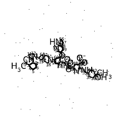 CC(C)c1ccccc1[C@@H]1CCCN1C1CC2(CCN(c3ccc(C(=O)NS(=O)(=O)c4cnc(NCC5CCC(C)(O)CC5)c([N+](=O)[O-])c4)c(Oc4cnc5[nH]ccc5c4)c3)CC2)C1